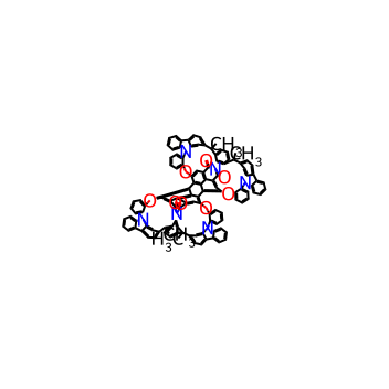 CC1c2ccc3c4ccccc4n(c3c2)-c2ccccc2Oc2cc3c4c5cc(c6c7c8cc9c%10c%11cc(c(c2c46)c%107)Oc2ccccc2-n2c4ccccc4c4ccc(cc42)C(C)c2cccc(c2N(C%11=O)C9=O)C(C)c2ccc4c6ccccc6n(c4c2)-c2ccccc2O8)Oc2ccccc2-n2c4ccccc4c4ccc(cc42)C(C)c2cccc1c2N(C3=O)C5=O